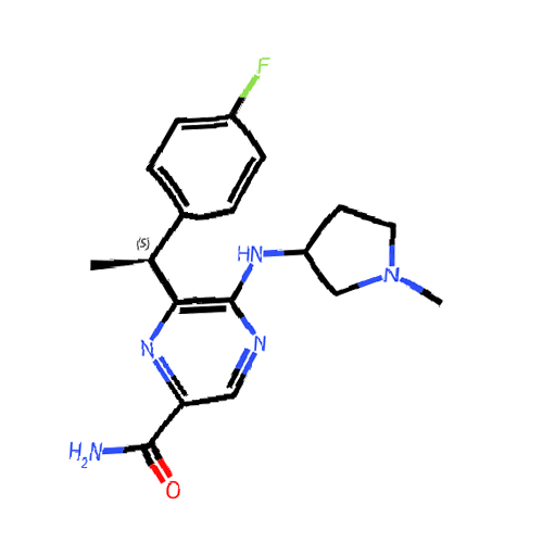 C[C@@H](c1ccc(F)cc1)c1nc(C(N)=O)cnc1NC1CCN(C)C1